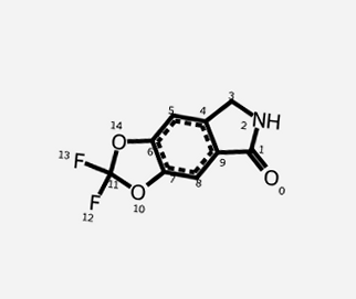 O=C1NCc2cc3c(cc21)OC(F)(F)O3